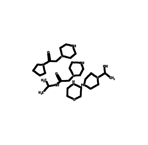 C1COCCN1.CC(C)NC(=O)CN1CCNCC1.CC(O)N1CCNCC1.O=C(CN1CCNCC1)N1CCCC1